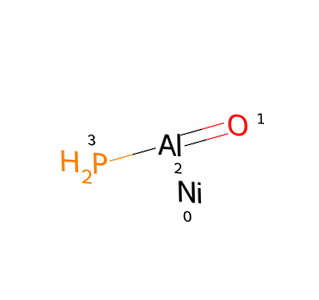 [Ni].[O]=[Al][PH2]